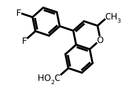 CC1C=C(c2ccc(F)c(F)c2)c2cc(C(=O)O)ccc2O1